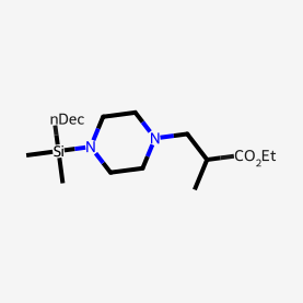 CCCCCCCCCC[Si](C)(C)N1CCN(CC(C)C(=O)OCC)CC1